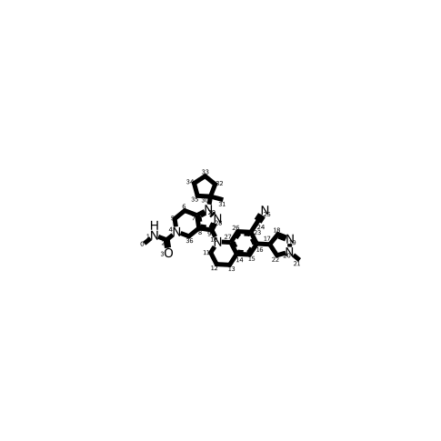 CNC(=O)N1CCc2c(c(N3CCCc4cc(C5C=NN(C)C5)c(C#N)cc43)nn2C2(C)CCCC2)C1